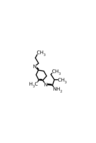 CCC/N=C1\CCC(/N=C(/N)C(C)CC)=C(C)C1